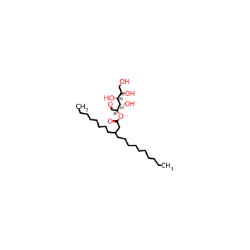 CCCCCCCCCCC(CCCCCCCC)CC(=O)O[C@@H](C=O)[C@@H](O)[C@H](O)[C@H](O)CO